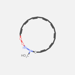 O=C(O)N1CC=CC=CC=CC=CC=CC=CC=CC=COON1